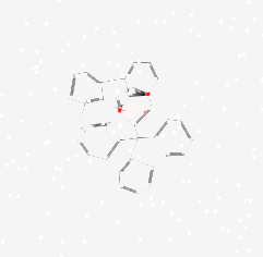 OC1(c2ccccc2C2(c3ccccc3)c3ccccc3-c3ccccc32)c2ccccc2-c2cccc(Br)c21